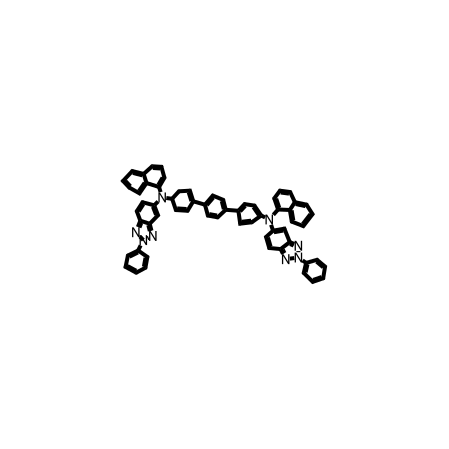 C1=CC(N(c2ccc3nn(-c4ccccc4)nc3c2)c2cccc3ccccc23)CC=C1c1ccc(-c2ccc(N(c3ccc4nn(-c5ccccc5)nc4c3)c3cccc4ccccc34)cc2)cc1